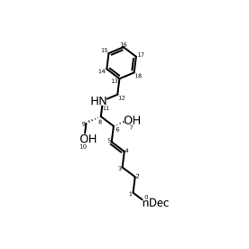 CCCCCCCCCCCCC/C=C/[C@@H](O)[C@H](CO)NCc1ccccc1